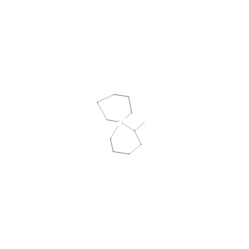 ClC1CCCC[N+]12CCCCC2